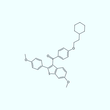 COc1ccc(-c2sc3cc(OC)ccc3c2C(=O)c2ccc(OCCC3CCCCC3)cc2)cc1